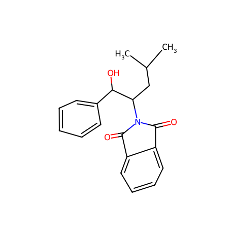 CC(C)CC(C(O)c1ccccc1)N1C(=O)c2ccccc2C1=O